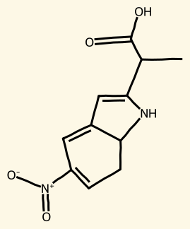 CC(C(=O)O)C1=CC2=CC([N+](=O)[O-])=CCC2N1